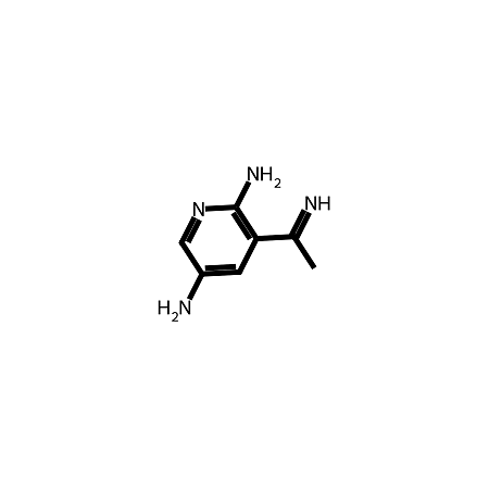 CC(=N)c1cc(N)cnc1N